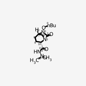 CCCCON1C(=O)N2C[C@@H]1CC[C@H]2C(=O)NN(C)C